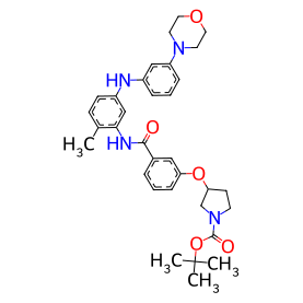 Cc1ccc(Nc2cccc(N3CCOCC3)c2)cc1NC(=O)c1cccc(OC2CCN(C(=O)OC(C)(C)C)C2)c1